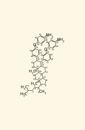 CC(C)CCC(C)C1CCC2C3CCC4C(c5cccc(Oc6ccc(N)cc6)c5)C(c5ccc(Oc6ccc(N)cc6)cc5)CCC4(C)C3CCC12C